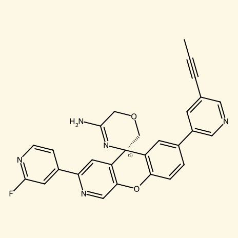 CC#Cc1cncc(-c2ccc3c(c2)[C@@]2(COCC(N)=N2)c2cc(-c4ccnc(F)c4)ncc2O3)c1